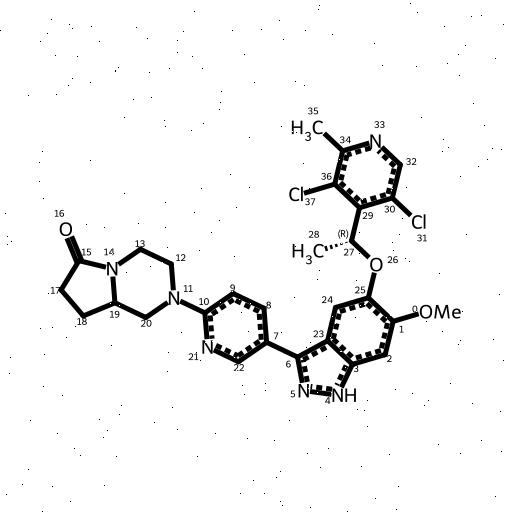 COc1cc2[nH]nc(-c3ccc(N4CCN5C(=O)CCC5C4)nc3)c2cc1O[C@H](C)c1c(Cl)cnc(C)c1Cl